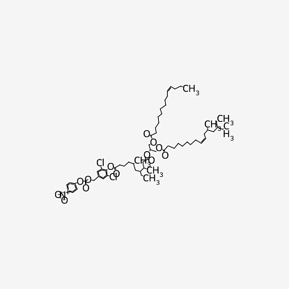 CCC/C=C\CCCCCCCCCC(=O)OCC(COC(=O)CCCCCCC/C=C\CC(C)CC(CC)CC)OC(=O)CC(C)C(CC)CC(C)CCCC(=O)Oc1c(Cl)cc(COC(=O)Oc2ccc([N+](=O)[O-])cc2)cc1Cl